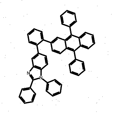 c1ccc(-c2c3ccccc3c(-c3ccccc3)c3cc(-c4ccccc4-c4ccc5c(c4)nc(-c4ccccc4)n5-c4ccccc4)ccc23)cc1